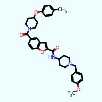 Cc1ccc(OC2CCN(C(=O)c3ccc4oc(C(=O)NC5CCN(Cc6ccc(OC(F)(F)F)cc6)CC5)cc4c3)CC2)cc1